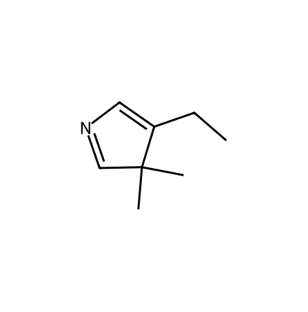 CCC1=CN=CC1(C)C